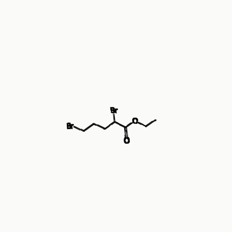 CCOC(=O)C(Br)CCCBr